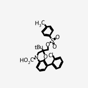 Cc1ccc(S(=O)(=O)OCC2(C(C)(C)C)CN(C(=O)O)c3cccc(-c4ccccc4Cl)c3O2)cc1